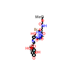 COCCOCCC(=O)NCCCC[C@H](NC(=O)CBr)C(=O)N[C@@H](C)C(=O)N[C@@H](C)C(=O)Nc1cc(Cn2ccc([C@@H]3O[C@@H]4C[C@H]5[C@@H]6CCC7=CC(=O)C=C[C@]7(C)[C@@]6(F)[C@@H](O)C[C@]5(C)[C@]4(C(=O)CO)O3)c2)ccc1CO